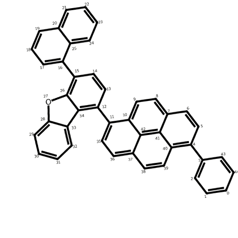 c1ccc(-c2ccc3ccc4c(-c5ccc(-c6cccc7ccccc67)c6oc7ccccc7c56)ccc5ccc2c3c54)cc1